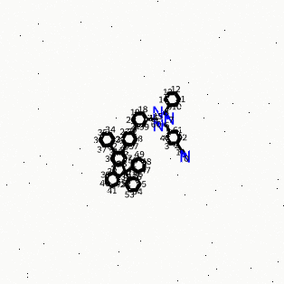 N#Cc1ccc(-c2nc(-c3ccccc3)nc(-c3cccc(-c4ccc(-c5cc6c(cc5-c5ccccc5)-c5ccccc5C6(c5ccccc5)c5ccccc5)cc4)c3)n2)cc1